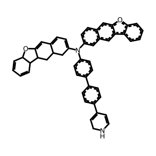 C1=CC2OC3=CC4=CC=C(N(c5ccc(-c6ccc(C7=CCNC=C7)cc6)cc5)c5ccc6cc7oc8ccccc8c7cc6c5)CC4CC3C2C=C1